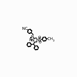 Cc1ccc(S(=O)(=O)N(CCC(c2ccccc2)c2ccccc2)Cc2nncn2Cc2ccc(C#N)cc2)cc1